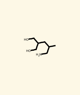 CC(CN)CC(CO)CO